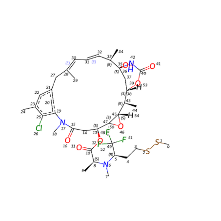 CSSCC[C@@H](N(C)[C@@H](C)C(=O)O[C@H]1CC(=O)N(C)c2cc(cc(C)c2Cl)C/C(C)=C/C=C/[C@@H](C)[C@@]2(O)C[C@H](OC(=O)N2)[C@@H](C)[C@@H]2O[C@@]12C)C(F)(F)F